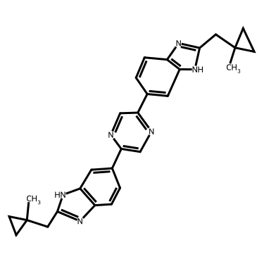 CC1(Cc2nc3ccc(-c4cnc(-c5ccc6nc(CC7(C)CC7)[nH]c6c5)cn4)cc3[nH]2)CC1